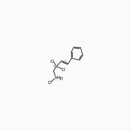 Cl[SiH](Cl)C[Si](Cl)(Cl)/C=C/c1ccccc1